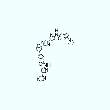 O=C(Cc1ccc(C2=CC(c3cnc(-c4ccc(NC(=O)Cc5ccc(N6CCCCC6)s5)nc4)cn3)OCC2)s1)Nc1ccc(-c2cnccn2)cn1